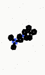 c1ccc(CC2c3ccccc3-c3ccc4c(c32)c2c3ccccc3ccc2n4-c2cccc3c(-c4nc(-c5ccccc5)nc(-c5ccccc5)n4)cccc23)cc1